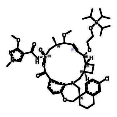 COc1nn(C)cc1C(=O)N[S@@]1(=O)=NC(=O)c2ccc3c(c2)N(C[C@@H]2CC[C@H]2[C@@H](OCCO[Si](C(C)C)(C(C)C)C(C)C)/C=C/C(OC)[C@H](C)C1)C[C@@]1(CCCc2cc(Cl)ccc21)CO3